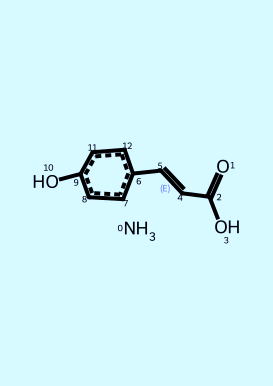 N.O=C(O)/C=C/c1ccc(O)cc1